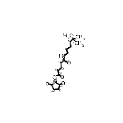 CC(C)(C)CCCCNC(=O)CCCC(=O)ON1C(=O)CCC1=O